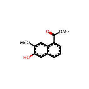 COC(=O)c1cccc2cc(O)c(OC)cc12